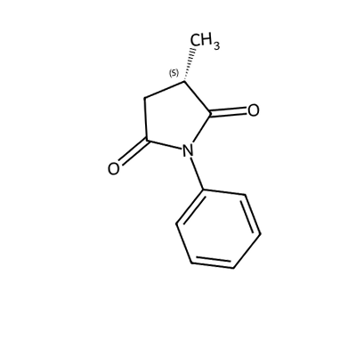 C[C@H]1CC(=O)N(c2ccccc2)C1=O